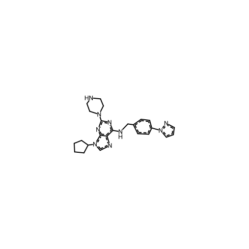 c1cnn(-c2ccc(CNc3nc(N4CCNCC4)nc4c3ncn4C3CCCC3)cc2)c1